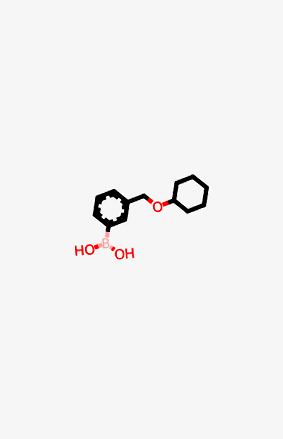 OB(O)c1cccc(COC2CCCCC2)c1